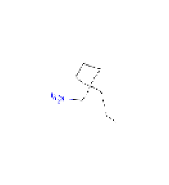 CCCC1(CN)CCC1